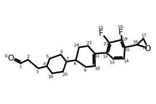 O=CCCC1CCC(C2CC=C(c3ccc(C4CO4)c(F)c3F)CC2)CC1